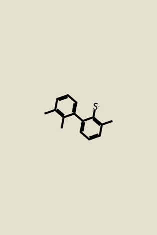 Cc1cccc(-c2cccc(C)c2[S])c1C